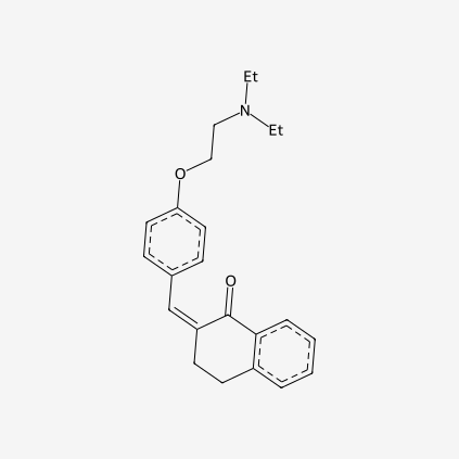 CCN(CC)CCOc1ccc(/C=C2/CCc3ccccc3C2=O)cc1